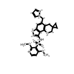 COc1ccnc(OC)c1S(=O)(=O)Nc1noc2cc(Cn3cccn3)c3c(c12)OCC1(CC1)C3